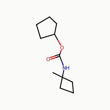 CC1(NC(=O)OC2CCCC2)CCC1